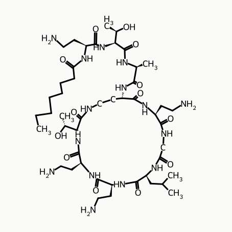 CCCCCCCC(=O)N[C@@H](CCN)C(=O)N[C@H](C(=O)N[C@@H](C)C(=O)N[C@H]1CCNC(=O)[C@H]([C@@H](C)O)NC(=O)[C@H](CCN)NC(=O)[C@H](CCN)NC(=O)[C@H](CC(C)C)NC(=O)CNC(=O)[C@H](CCN)NC1=O)[C@@H](C)O